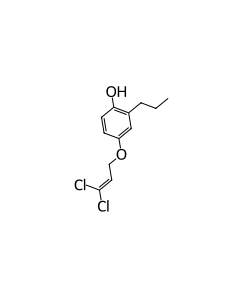 CCCc1cc(OCC=C(Cl)Cl)ccc1O